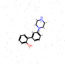 Oc1ccccc1-c1cccc(N2CCNCC2)c1